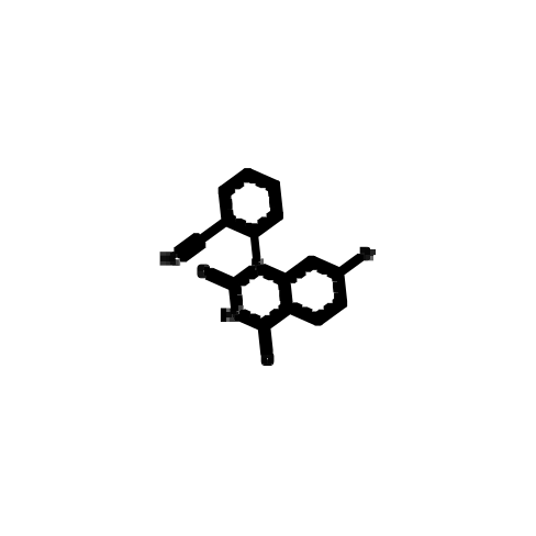 C#Cc1ccccc1-n1c(=O)[nH]c(=O)c2ccc(Br)cc21